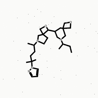 CCC(C)N1CC(C2OCC23CCN(C(C)CCC(C)(C)n2cccn2)C3)CC2(COC2)C1